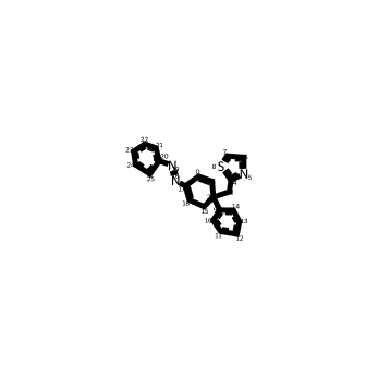 C1=CC(Cc2nccs2)(c2ccccc2)CC=C1N=Nc1ccccc1